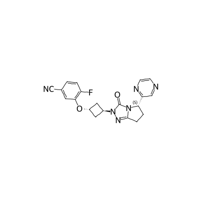 N#Cc1ccc(F)c(O[C@H]2C[C@H](n3nc4n(c3=O)[C@H](c3cnccn3)CC4)C2)c1